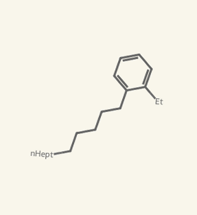 CCCCCCCCCCCCc1ccccc1CC